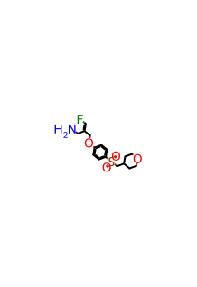 NC/C(=C\F)COc1ccc(S(=O)(=O)CC2CCOCC2)cc1